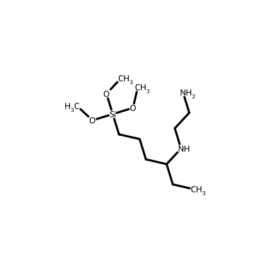 CCC(CCC[Si](OC)(OC)OC)NCCN